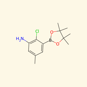 Cc1cc(N)c(Cl)c(B2OC(C)(C)C(C)(C)O2)c1